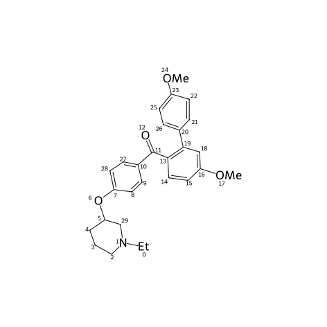 CCN1CCCC(Oc2ccc(C(=O)c3ccc(OC)cc3-c3ccc(OC)cc3)cc2)C1